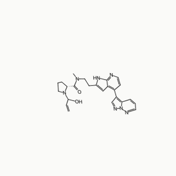 C=CC(O)N1CCC[C@@H]1C(=O)N(C)CCc1cc2c(-c3cnn4ncccc34)ccnc2[nH]1